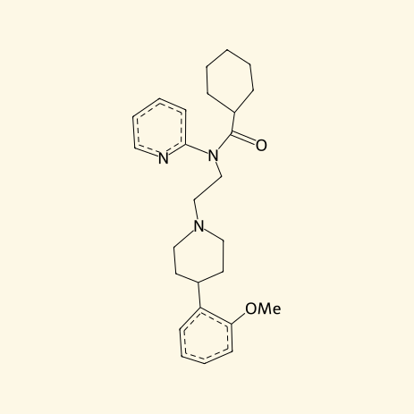 COc1ccccc1C1CCN(CCN(C(=O)C2CCCCC2)c2ccccn2)CC1